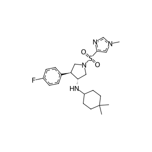 Cn1cnc(S(=O)(=O)N2C[C@H](NC3CCC(C)(C)CC3)[C@@H](c3ccc(F)cc3)C2)c1